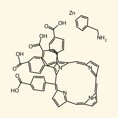 NCc1ccccc1.O=C(O)c1ccc(-c2c(-c3ccc(C(=O)O)cc3)c3c(-c4ccc(C(=O)O)cc4)c4nc(cc5ccc(cc6nc(cc2n3-c2ccc(C(=O)O)cc2)C=C6)[nH]5)C=C4)cc1.[Zn]